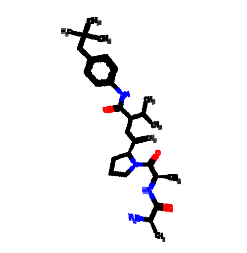 C=C(CC(C(=O)Nc1ccc(CC(C)(C)C)cc1)C(C)C)[C@@H]1CCCN1C(=O)[C@H](C)NC(=O)[C@@H](C)N